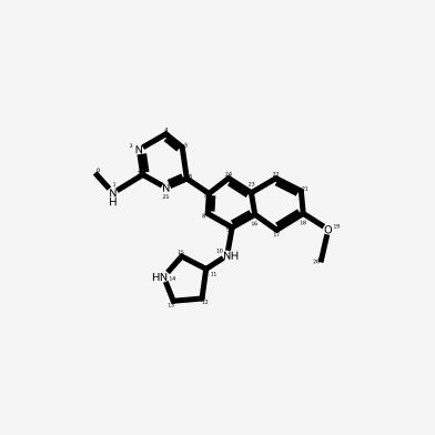 CNc1nccc(-c2cc(NC3CCNC3)c3cc(OC)ccc3c2)n1